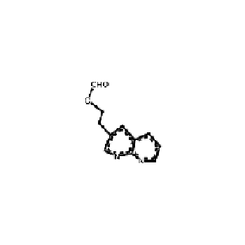 O=COCCc1cnc2ncccc2c1